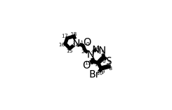 O=C(Cn1nnc2scc(Br)c2c1=O)N1CCCC1